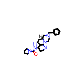 O=C(Nc1ccnc2c1CC[C@@H]1CN(Cc3ccccc3)CCN21)N1CCCC1